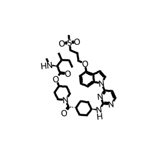 CCC(C)[C@H](NC)C(=O)OC1CCN(C(=O)[C@H]2CC[C@H](Nc3nccc(-n4ccc5c(OCCCS(C)(=O)=O)cccc54)n3)CC2)CC1